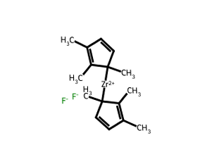 CC1=C(C)[C](C)([Zr+2][C]2(C)C=CC(C)=C2C)C=C1.[F-].[F-]